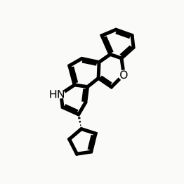 C1=C[C@@H](C2=CNc3ccc4c(c3=C2)=COc2ccccc2-4)CC1